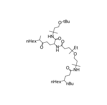 CCCCCCC(CCCC)CCC(=O)NC(C)(C)CCOC(C)(CC)CCC(=O)NC(CCC(=O)C(C)CCCCCC)C(=O)NC(C)(C)CCOC(C)(C)C